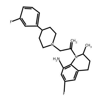 C=C(CN1CCC(c2cccc(F)c2)CC1)N1c2c(N)cc(F)cc2CCC1C